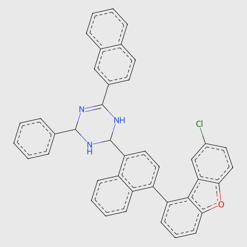 Clc1ccc2oc3cccc(-c4ccc(C5NC(c6ccc7ccccc7c6)=NC(c6ccccc6)N5)c5ccccc45)c3c2c1